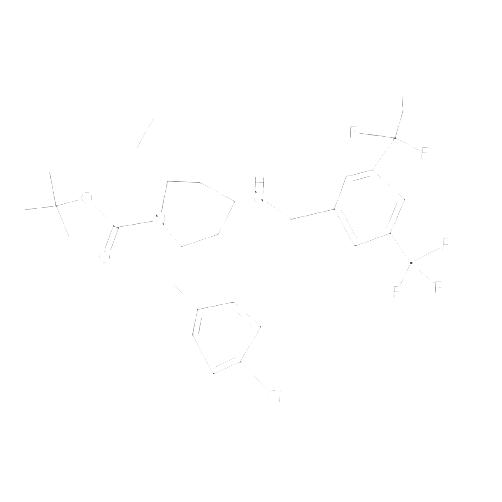 CC[C@@H]1C[C@H](NCc2cc(C(F)(F)F)cc(C(F)(F)F)c2)C[C@H](Cc2ccc(Cl)cc2)N1C(=O)OC(C)(C)C